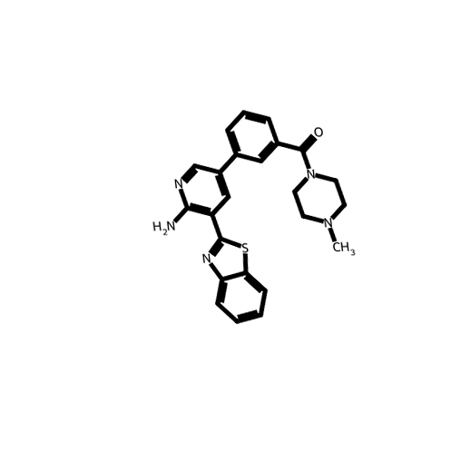 CN1CCN(C(=O)c2cccc(-c3cnc(N)c(-c4nc5ccccc5s4)c3)c2)CC1